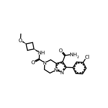 CO[C@H]1C[C@@H](NC(=O)N2CCn3nc(-c4cccc(Cl)c4)c(C(N)=O)c3C2)C1